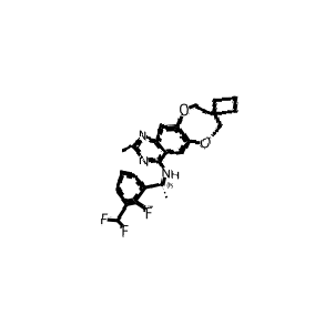 Cc1nc(N[C@H](C)c2cccc(C(F)F)c2F)c2cc3c(cc2n1)OCC1(CCC1)CO3